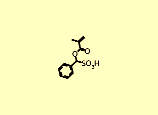 C=C(C)C(=O)OC(c1ccccc1)S(=O)(=O)O